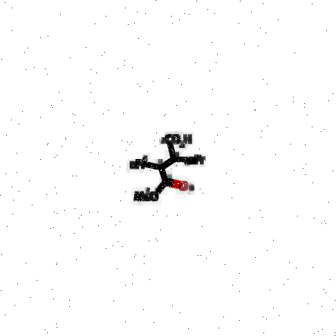 CCCC(C(=O)O)C(CCC)C(=O)OC